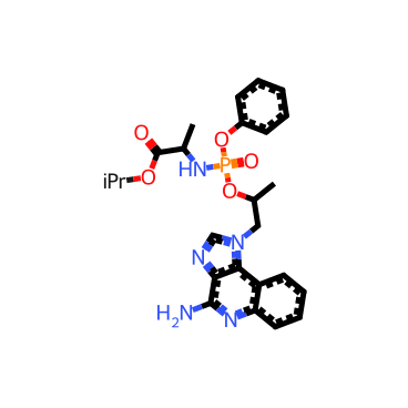 CC(C)OC(=O)C(C)NP(=O)(Oc1ccccc1)OC(C)Cn1cnc2c(N)nc3ccccc3c21